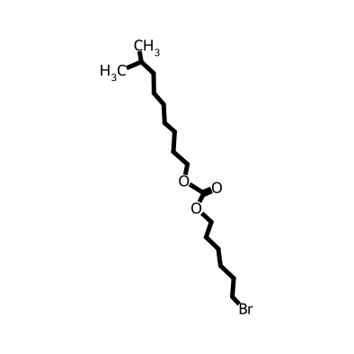 CC(C)CCCCCCCOC(=O)OCCCCCCBr